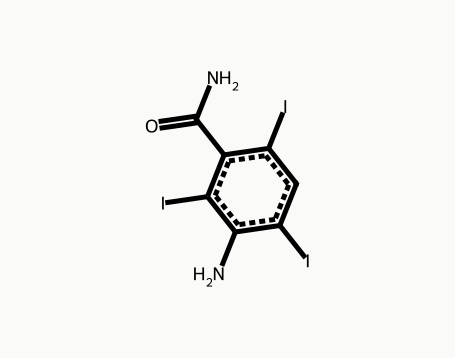 NC(=O)c1c(I)cc(I)c(N)c1I